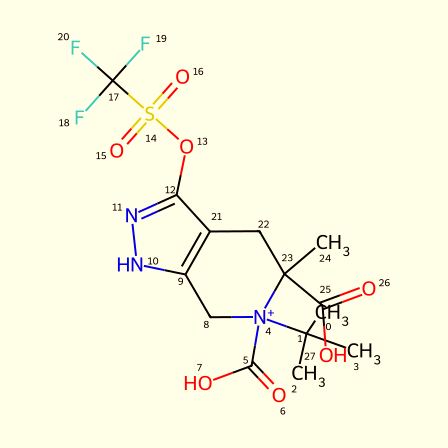 CC(C)(C)[N+]1(C(=O)O)Cc2[nH]nc(OS(=O)(=O)C(F)(F)F)c2CC1(C)C(=O)O